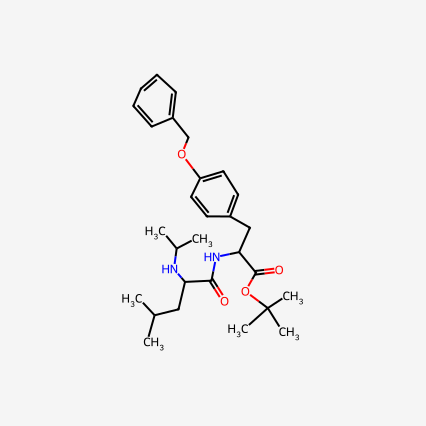 CC(C)CC(NC(C)C)C(=O)NC(Cc1ccc(OCc2ccccc2)cc1)C(=O)OC(C)(C)C